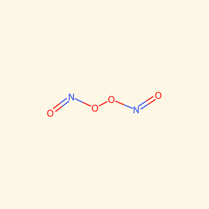 O=NOON=O